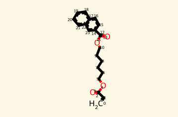 C=CC(=O)OCCCCCCOC(=O)c1ccc2ccccc2c1